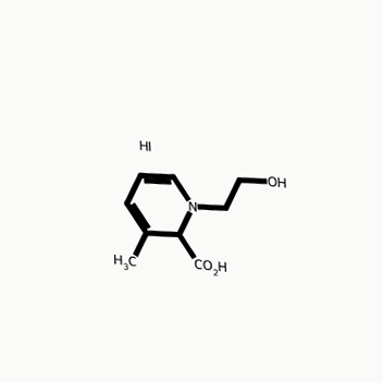 CC1=CC=CN(CCO)C1C(=O)O.I